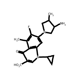 Cc1c(F)c(N2CC(C)C(N)C2)cc2c1c(=O)c(C(=O)O)cn2C1CC1